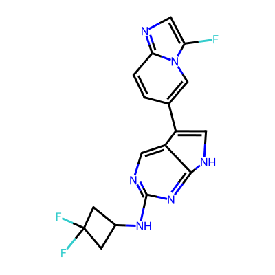 Fc1cnc2ccc(-c3c[nH]c4nc(NC5CC(F)(F)C5)ncc34)cn12